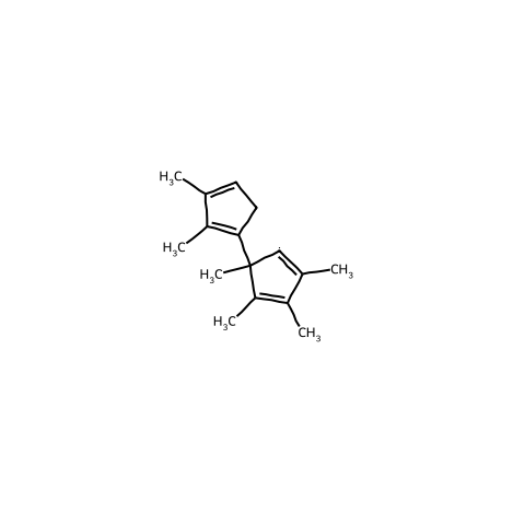 CC1=[C]C(C)(C2=C(C)C(C)=CC2)C(C)=C1C